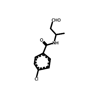 CC(CC=O)NC(=O)c1ccc(Cl)cc1